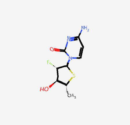 C[C@H]1SC(n2ccc(N)nc2=O)[C@@H](F)[C@@H]1O